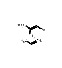 CC(=[CH][Zn])C(=O)O.[CH]=CC